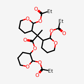 CCC(=O)OC1OCCCC1OC(=O)C(C)(C1CCCOC1OC(=O)CC)C1CCCOC1OC(=O)CC